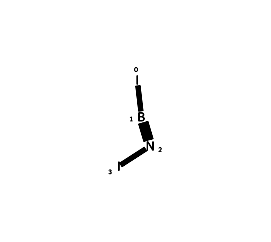 IB=NI